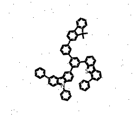 CC1(C)c2ccccc2-c2ccc(-c3cccc(-c4cc(-c5ccc6c(c5)c5cc(-c7ccccc7)ccc5n6-c5ccccc5)cc(-c5cccc6c5sc5c(-c7ccccc7)cccc56)c4)c3)cc21